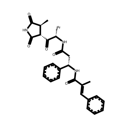 C/C(=C\c1ccccc1)C(=O)N[C@@H](CC(=O)N[C@H](C(=O)[C@@H]1C(=O)NC(=O)[C@H]1C)C(C)C)c1ccccc1